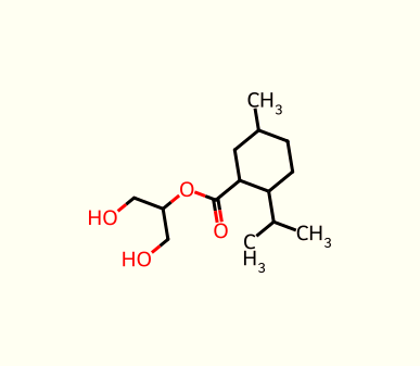 CC1CCC(C(C)C)C(C(=O)OC(CO)CO)C1